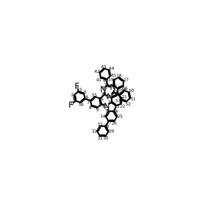 Fc1cc(F)cc(-c2ccc(-n3c4cc(-c5ccccc5)ccc4c4ccc(-c5ccccc5)cc43)c(-c3nc(-c4ccccc4)nc(-c4ccccc4)n3)c2)c1